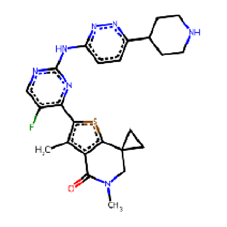 Cc1c(-c2nc(Nc3ccc(C4CCNCC4)nn3)ncc2F)sc2c1C(=O)N(C)CC21CC1